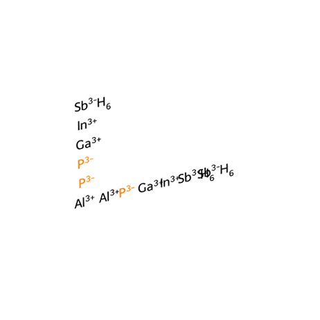 [Al+3].[Al+3].[Ga+3].[Ga+3].[In+3].[In+3].[P-3].[P-3].[P-3].[SbH6-3].[SbH6-3].[SbH6-3]